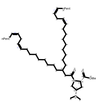 CCCCC/C=C\C/C=C\CCCCCCCCC(CCCCCCCC/C=C\C/C=C\CCCCC)CC(=O)N1C[C@@H](N(C)C)C[C@H]1C(=O)OC